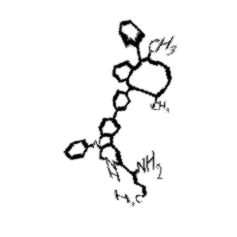 C/C=C\C=C(/N)C1=Cc2c(n(-c3ccccc3)c3ccc(C4=CCC(c5c(C)ccccc(C)c(-c6ccccc6)c6ccccc56)C=C4)cc23)CN1